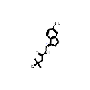 CC(C)(S)CC(=O)N/N=C1\CCc2cc(N)ccc21